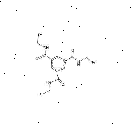 CC(C)CNC(=O)c1cc(C(=O)NCC(C)C)cc(C(=O)NCC(C)C)c1